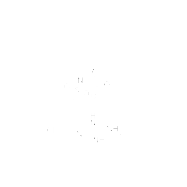 CCCCOC(=O)[C@H](C)N(Cc1ccccc1)S(=O)(=O)c1ccc2c(Cl)cnc(NC(=N)N)c2c1